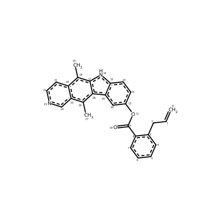 C=CCc1ccccc1C(=O)Oc1ccc2[nH]c3c(C)c4ccncc4c(C)c3c2c1